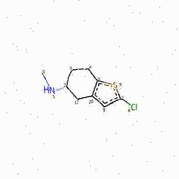 CN[C@@H]1CCc2sc(Cl)cc2C1